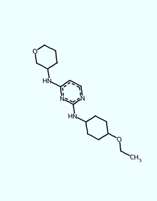 CCOC1CCC(Nc2nccc(NC3CCCOC3)n2)CC1